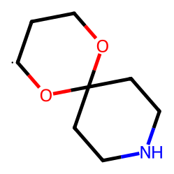 [CH]1CCOC2(CCNCC2)O1